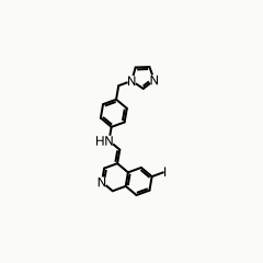 Ic1ccc2c(c1)/C(=C/Nc1ccc(Cn3ccnc3)cc1)C=NC2